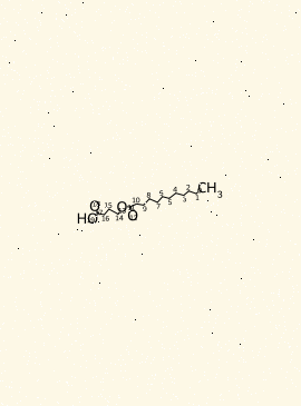 CCCCCCCCCCCC(=O)OCCCC(=O)O